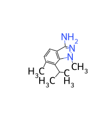 Cc1ccc2c(N)nn(C)c2c1C(C)C